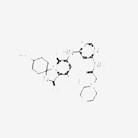 Cc1cc(Nc2cc(NC(=O)CN3CCOCC3)ncn2)c(=O)n2c1C(=O)NC21CCC(O)CC1